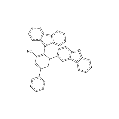 N#CC1=C(n2c3ccccc3c3ccccc32)C(c2ccc3oc4ccccc4c3c2)CC(c2ccccc2)=C1